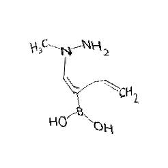 C=C/C(=C\N(C)N)B(O)O